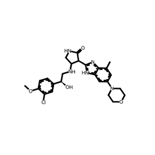 COc1ccc([C@H](O)CNC2CNC(=O)C2c2nc3c(C)cc(N4CCOCC4)cc3[nH]2)cc1Cl